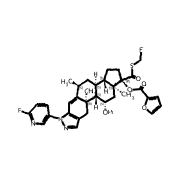 C[C@H]1C[C@@H]2[C@H]([C@@H](O)C[C@@]3(C)[C@H]2CC[C@]3(OC(=O)c2ccco2)C(=O)SCF)[C@@]2(C)Cc3cnn(-c4ccc(F)nc4)c3C=C12